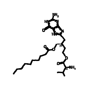 CCCCCCCCCC(=O)OC[C@@H](CCOC(=O)[C@@H](N)C(C)C)Cc1nc2nc(N)[nH]c(=O)c2[nH]1